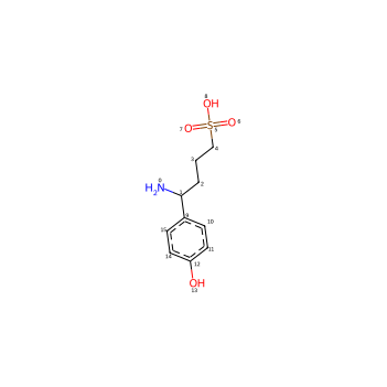 NC(CCCS(=O)(=O)O)c1ccc(O)cc1